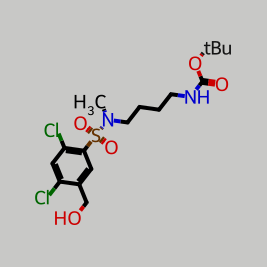 CN(CCCCNC(=O)OC(C)(C)C)S(=O)(=O)c1cc(CO)c(Cl)cc1Cl